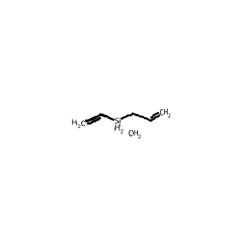 C=CC[SiH2]C=C.O